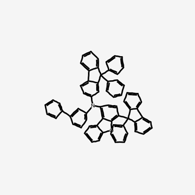 c1ccc(-c2cccc(N(c3ccc4c(c3)C(c3ccccc3)(c3ccccc3)c3ccccc3-4)c3ccc(C4(c5ccccc5)c5ccccc5-c5ccccc54)c4oc5ccccc5c34)c2)cc1